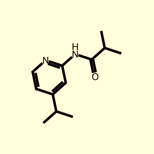 CC(C)C(=O)Nc1cc(C(C)C)ccn1